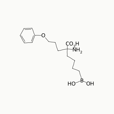 NC(CCCCB(O)O)(CCCOc1ccccc1)C(=O)O